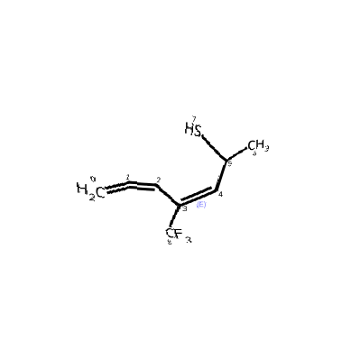 C=C=C/C(=C\C(C)S)C(F)(F)F